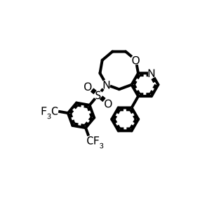 O=S(=O)(c1cc(C(F)(F)F)cc(C(F)(F)F)c1)N1CCCCOc2nccc(-c3ccccc3)c2C1